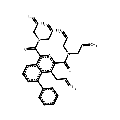 C=CCc1c(C(=O)N(CC=C)CC=C)nc(C(=O)N(CC=C)CC=C)c2cccc(-c3ccccc3)c12